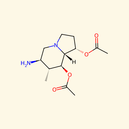 CC(=O)O[C@H]1[C@H](C)[C@@H](N)CN2CC[C@H](OC(C)=O)[C@H]12